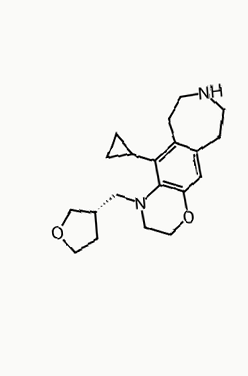 c1c2c(c(C3CC3)c3c1OCCN3C[C@@H]1CCOC1)CCNCC2